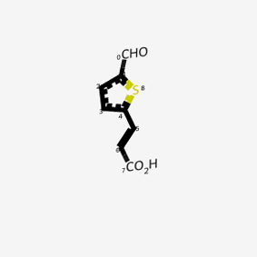 O=Cc1ccc(C=CC(=O)O)s1